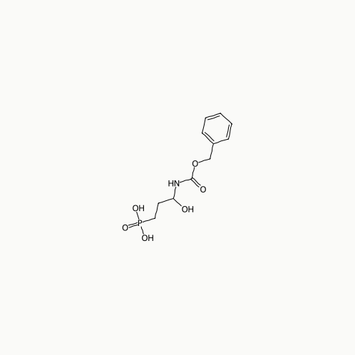 O=C(NC(O)CCP(=O)(O)O)OCc1ccccc1